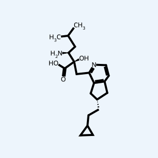 CC(C)C[C@H](N)[C@](O)(Cc1nccc2c1C[C@@H](CCC1CC1)C2)C(=O)O